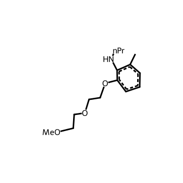 CCCNc1c(C)cccc1OCCOCCOC